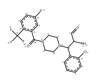 NC(C=O)C(c1ccccc1Cl)N1CCN(C(=O)c2cc(F)ccc2C(F)(F)F)CC1